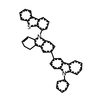 C1=Cc2c(c3cc(-c4ccc5c(c4)c4ccccc4n5-c4ccccc4)ccc3n2-c2cccc3c2sc2ccccc23)CC1